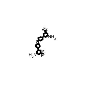 Nc1cc(-c2ccc(Oc3ccc(-c4cc(N)cc(C(F)(F)F)c4)cc3)cc2)cc(C(F)(F)F)c1